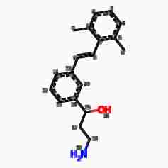 Cc1cccc(C)c1/C=C/c1cccc(C(O)CCN)c1